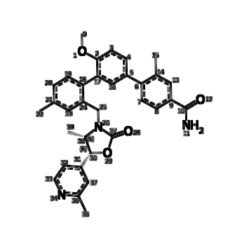 COc1ccc(-c2ccc(C(N)=O)cc2C)cc1-c1ccc(C)cc1CN1C(=O)O[C@H](c2ccnc(C)c2)[C@@H]1C